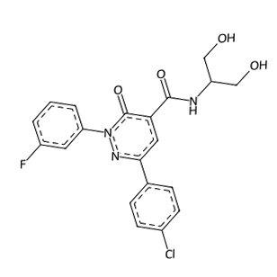 O=C(NC(CO)CO)c1cc(-c2ccc(Cl)cc2)nn(-c2cccc(F)c2)c1=O